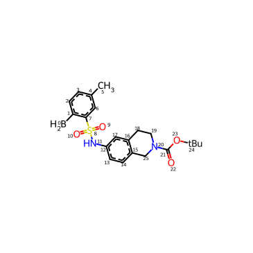 Bc1ccc(C)cc1S(=O)(=O)Nc1ccc2c(c1)CCN(C(=O)OC(C)(C)C)C2